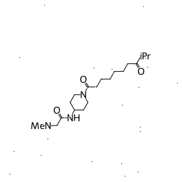 CNCC(=O)NC1CCN(C(=O)CCCCCCC(=O)C(C)C)CC1